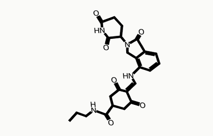 CCCNC(=O)C1CC(=O)C(=CNc2cccc3c2CN(C2CCC(=O)NC2=O)C3=O)C(=O)C1